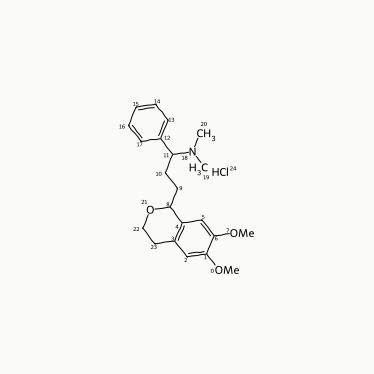 COc1cc2c(cc1OC)C(CCC(c1ccccc1)N(C)C)OCC2.Cl